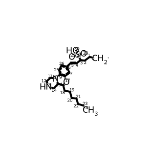 [CH2]CCC(C=Cc1ccc(N2CCNCC2C(=O)CCCCCCC)cc1)S(=O)(=O)O